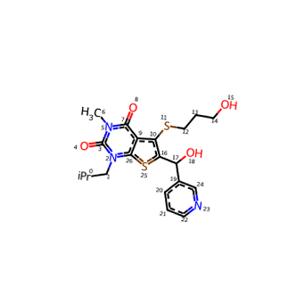 CC(C)Cn1c(=O)n(C)c(=O)c2c(SCCCO)c(C(O)c3cccnc3)sc21